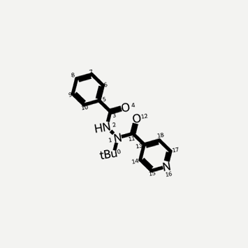 CC(C)(C)N(NC(=O)c1ccccc1)C(=O)c1ccncc1